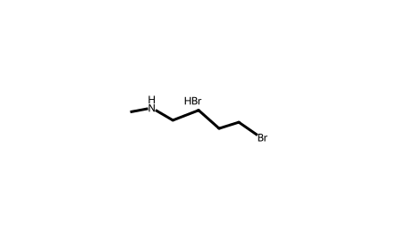 Br.CNCCCCBr